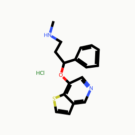 CNCCC(Oc1cncc2ccsc12)c1ccccc1.Cl